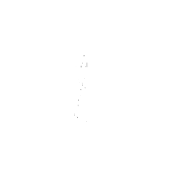 CC(=O)CCNC(=O)CCc1ccc(NC(=O)CCOCCOCCN)cc1